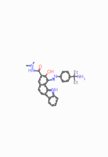 CCC(N)(CC)c1ccc(N=Nc2c(O)c(C(=O)NN(C)C)cc3ccc4c5ccccc5[nH]c4c23)cc1